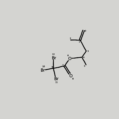 C=C(C)CC(C)OC(=O)C(Br)(Br)Br